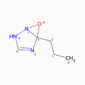 CCCC12N=CNN1O2